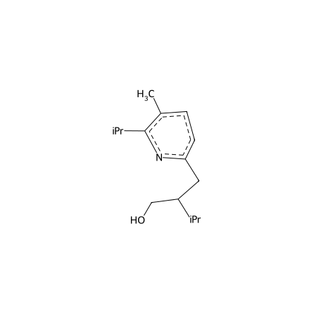 Cc1ccc(CC(CO)C(C)C)nc1C(C)C